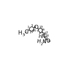 Cc1ccc(Oc2ccc([C@H]3CC[C@@H](C(N)=O)N3)cc2)cc1